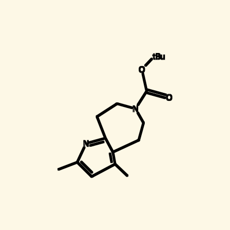 Cc1cc(C)c2c(n1)CCN(C(=O)OC(C)(C)C)CC2